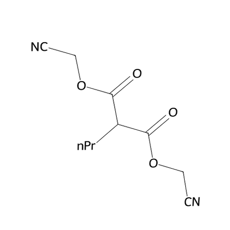 CCCC(C(=O)OCC#N)C(=O)OCC#N